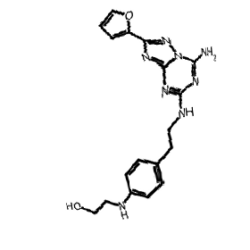 Nc1nc(NCCc2ccc(NCCO)cc2)nc2nc(-c3ccco3)nn12